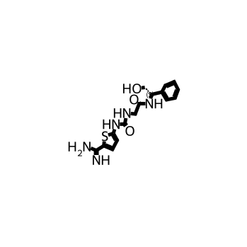 N=C(N)c1ccc(NC(=O)NCC(=O)N[C@H](CO)c2ccccc2)s1